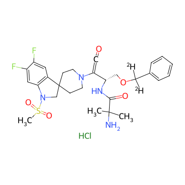 Cl.[2H]C([2H])(OC[C@H](NC(=O)C(C)(C)N)C(=C=O)N1CCC2(CC1)CN(S(C)(=O)=O)c1cc(F)c(F)cc12)c1ccccc1